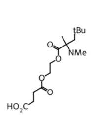 CNC(C)(CC(C)(C)C)C(=O)OCCOC(=O)CCC(=O)O